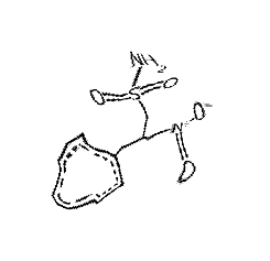 NS(=O)(=O)C(c1ccccc1)[N+](=O)[O-]